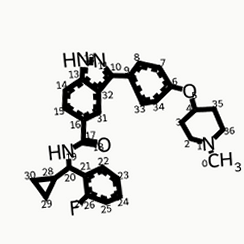 CN1CCC(Oc2ccc(-c3n[nH]c4ccc(C(=O)NC(c5ccccc5F)C5CC5)cc34)cc2)CC1